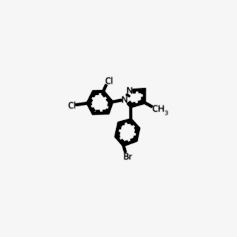 Cc1cnn(-c2ccc(Cl)cc2Cl)c1-c1ccc(Br)cc1